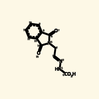 O=C(O)N/N=C/CN1C(=O)c2ccccc2C1=O